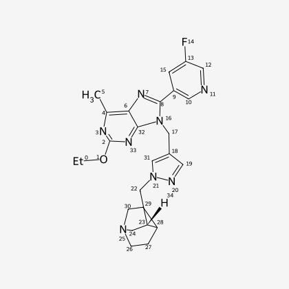 CCOc1nc(C)c2nc(-c3cncc(F)c3)n(Cc3cnn(C[C@H]4CN5CCC4CC5)c3)c2n1